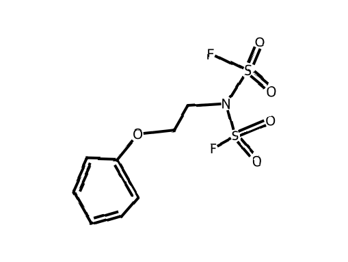 O=S(=O)(F)N(CCOc1ccccc1)S(=O)(=O)F